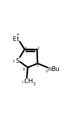 CCCCC1C=C(CC)SC1C